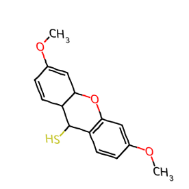 COC1=CC2Oc3cc(OC)ccc3C(S)C2C=C1